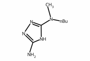 CCCCN(C)c1nnc(N)[nH]1